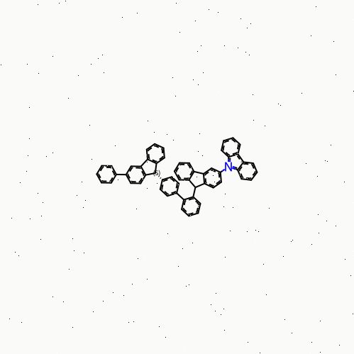 c1ccc(-c2ccc3c(c2)-c2ccccc2[C@@H]3c2ccc(-c3ccccc3C3c4ccccc4-c4cc(-n5c6ccccc6c6ccccc65)ccc43)cc2)cc1